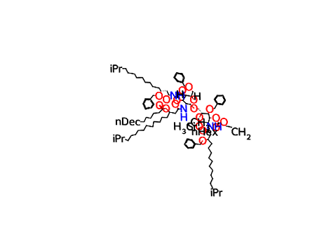 C=CCOC(=O)O[C@@H]1[C@@H](NC(=O)C[C@@H](CCCCCCCCCCCC(C)C)OCc2ccccc2)[C@H](O[Si](C)(C)CCCCCC)O[C@H](CO[C@@H]2O[C@@H]3COC(c4ccccc4)O[C@H]3[C@H](ONC(=O)C[C@@H](CCCCCCCCCC(C)C)OCc3ccccc3)[C@H]2NC(=O)C[C@@H](CCCCCCCCCCCC(C)C)OC(=O)CCCCCCCCCCCCCCC)[C@H]1OCc1ccccc1